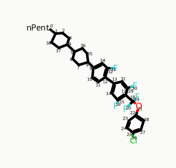 CCCCCC1CCC(C2CCC(c3ccc(-c4cc(F)c(C(F)(F)Oc5ccc(Cl)cc5)c(F)c4)c(F)c3)CC2)CC1